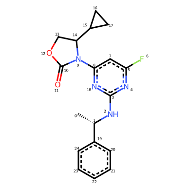 C[C@H](Nc1nc(F)cc(N2C(=O)OCC2C2CC2)n1)c1ccccc1